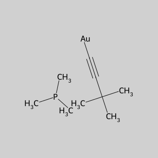 CC(C)(C)C#[C][Au].CP(C)C